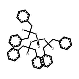 O=P(OC(Cl)(Cc1ccccc1)Cc1ccccc1)(OC(Cl)(Cc1ccccc1)Cc1ccccc1)OC(Cl)(Cc1ccccc1)Cc1ccccc1